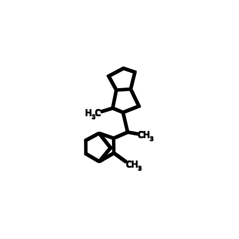 CC1C2CCCC2CC1C(C)C1C2CCC(C2)C1C